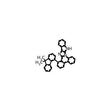 CC1(C)c2ccccc2-c2c(-c3cccc4c5ccccc5n5c(nc6c7ccccc7[nH]c65)c34)cccc21